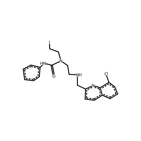 O=C(Nc1ccccc1)N(CCI)CCNCc1ccc2cccc(Cl)c2n1